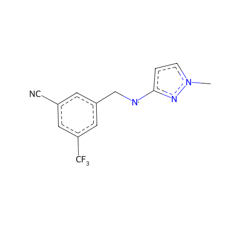 Cn1ccc([N]Cc2cc(C#N)cc(C(F)(F)F)c2)n1